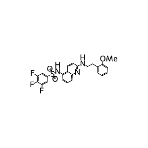 COc1ccccc1CCNc1ccc2c(NS(=O)(=O)c3cc(F)c(F)c(F)c3)cccc2n1